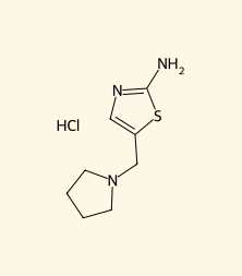 Cl.Nc1ncc(CN2CCCC2)s1